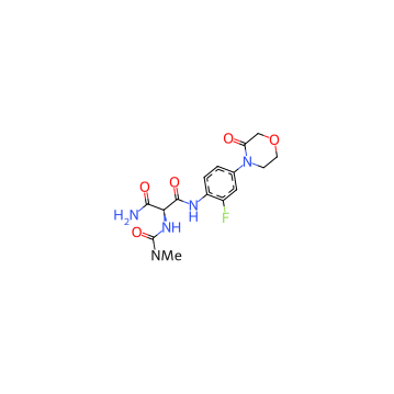 CNC(=O)N[C@@H](C(N)=O)C(=O)Nc1ccc(N2CCOCC2=O)cc1F